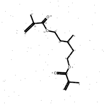 C=C(C)C(=O)OCCC(C)CCOC(=O)C(=C)C